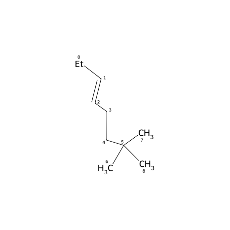 [CH2]CC=CCCC(C)(C)C